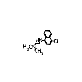 CN(C)CCNc1ccc(Cl)c2ccccc12